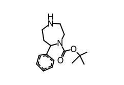 CC(C)(C)OC(=O)N1CCNCCC1c1ccccc1